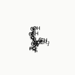 CC(C)(C)C1CCC2(CC1)N=C(c1cc(F)cc(F)c1)C(=O)N2CCc1ccc(C(=O)NCCC(=O)O)cc1